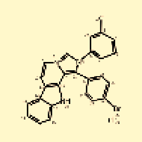 Clc1cccc(-n2c[n+]3ccc4c5ccccc5[nH]c4c3c2-c2ccc(Br)cc2)c1.[Cl-]